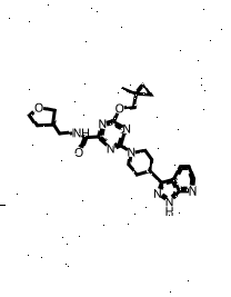 CC1(COc2nc(C(=O)NCC3CCOC3)nc(N3CCC(c4n[nH]c5ncccc45)CC3)n2)CC1